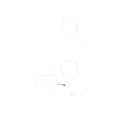 CC(=O)N[C@H]1C[C@H]2CC[C@@H](C1)N2Cc1ccc(Cc2nc3ccccc3s2)cc1